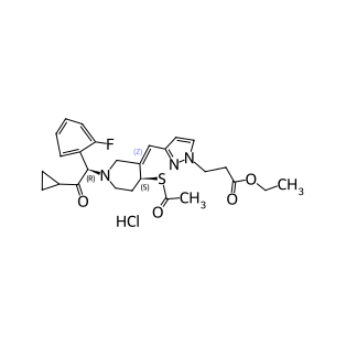 CCOC(=O)CCn1ccc(/C=C2/CN([C@@H](C(=O)C3CC3)c3ccccc3F)CC[C@@H]2SC(C)=O)n1.Cl